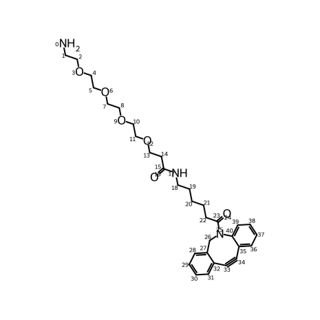 NCCOCCOCCOCCOCCC(=O)NCCCCCC(=O)N1Cc2ccccc2C#Cc2ccccc21